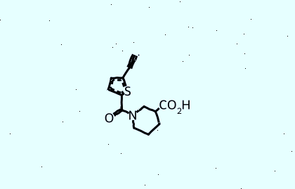 [C]#Cc1ccc(C(=O)N2CCCC(C(=O)O)C2)s1